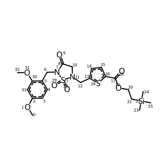 COc1ccc(CN2C(=O)CN(Cc3ccc(C(=O)OCC[Si](C)(C)C)s3)S2(=O)=O)c(OC)c1